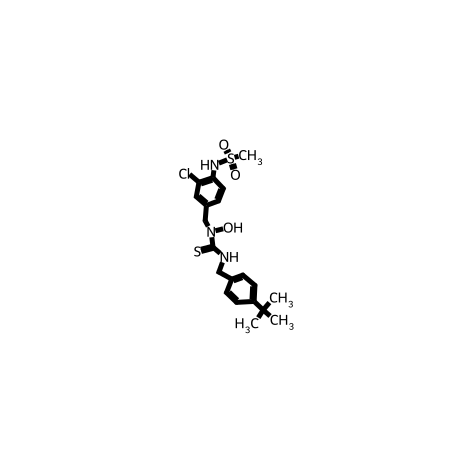 CC(C)(C)c1ccc(CNC(=S)N(O)Cc2ccc(NS(C)(=O)=O)c(Cl)c2)cc1